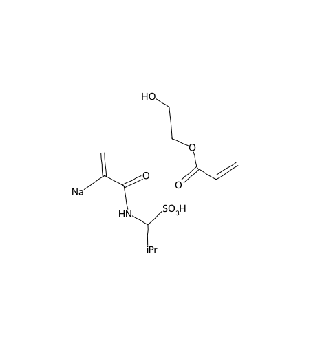 C=CC(=O)OCCO.C=[C]([Na])C(=O)NC(C(C)C)S(=O)(=O)O